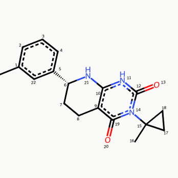 Cc1cccc([C@H]2CCc3c([nH]c(=O)n(C4(C)CC4)c3=O)N2)c1